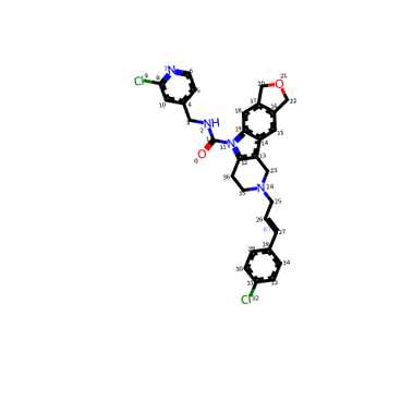 O=C(NCc1ccnc(Cl)c1)n1c2c(c3cc4c(cc31)COC4)CN(C/C=C/c1ccc(Cl)cc1)CC2